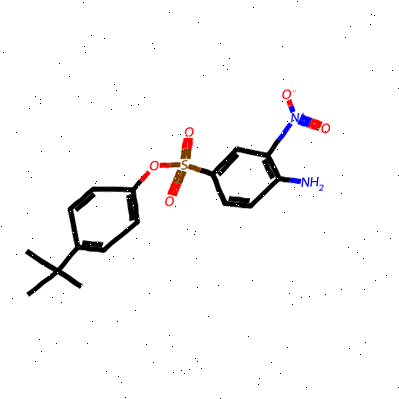 CC(C)(C)c1ccc(OS(=O)(=O)c2ccc(N)c([N+](=O)[O-])c2)cc1